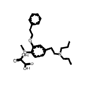 CCCN(CCC)CCc1ccc(OC)c(OCCc2ccccc2)c1.O=C(O)C(=O)O